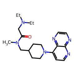 CCN(CC)CC(=O)N(C)CC1CCN(c2ccnc3nccnc23)CC1